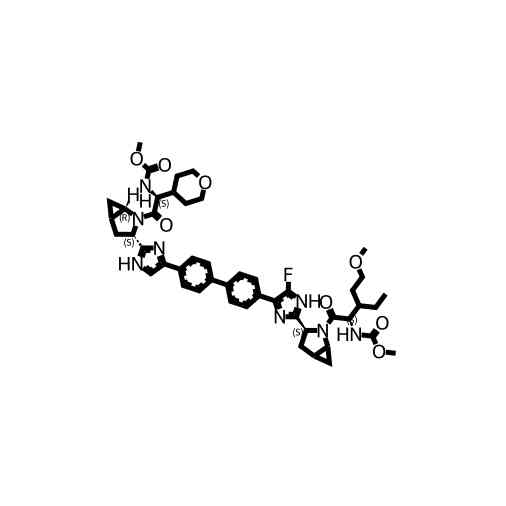 CCC(CCOC)[C@H](NC(=O)OC)C(=O)N1C2CC2C[C@H]1c1nc(-c2ccc(-c3ccc(-c4c[nH]c([C@@H]5CC6C[C@H]6N5C(=O)[C@@H](NC(=O)OC)C5CCOCC5)n4)cc3)cc2)c(F)[nH]1